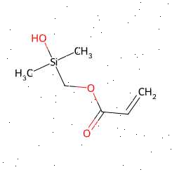 C=CC(=O)OC[Si](C)(C)O